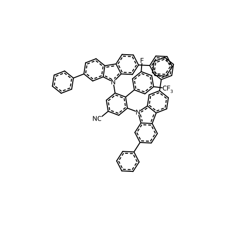 N#Cc1cc(-n2c3cc(-c4ccccc4)ccc3c3ccc(-c4ccccc4)cc32)c(-c2cc(F)cc(C(F)(F)F)c2)c(-n2c3cc(-c4ccccc4)ccc3c3ccc(-c4ccccc4)cc32)c1